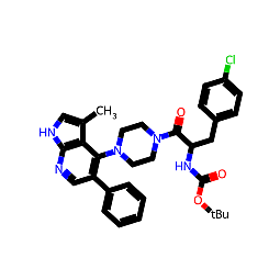 Cc1c[nH]c2ncc(-c3ccccc3)c(N3CCN(C(=O)C(Cc4ccc(Cl)cc4)NC(=O)OC(C)(C)C)CC3)c12